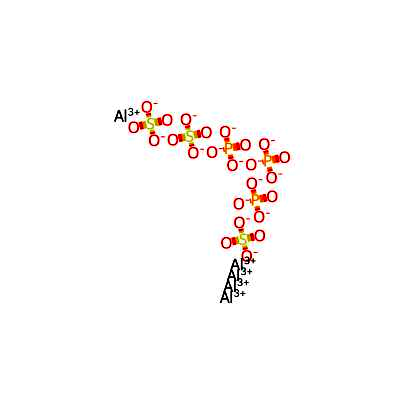 O=P([O-])([O-])[O-].O=P([O-])([O-])[O-].O=P([O-])([O-])[O-].O=S(=O)([O-])[O-].O=S(=O)([O-])[O-].O=S(=O)([O-])[O-].[Al+3].[Al+3].[Al+3].[Al+3].[Al+3]